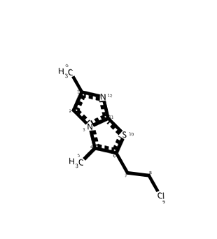 Cc1cn2c(C)c(CCCl)sc2n1